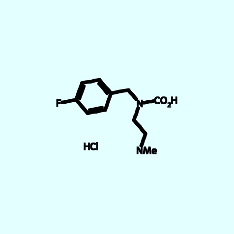 CNCCN(Cc1ccc(F)cc1)C(=O)O.Cl